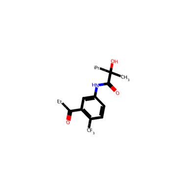 CCC(=O)c1cc(NC(=O)C(C)(O)C(C)C)ccc1C(F)(F)F